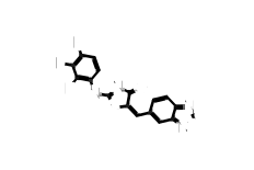 O=C1N=C(Nc2ccc(F)c(F)c2F)SC1=Cc1ccc2nsnc2c1